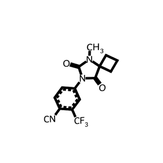 [C-]#[N+]c1ccc(N2C(=O)N(C)C3(CCC3)C2=O)cc1C(F)(F)F